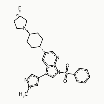 Cn1cc(-c2cn(S(=O)(=O)c3ccccc3)c3ncc([C@H]4CC[C@H](N5CC[C@H](F)C5)CC4)cc23)cn1